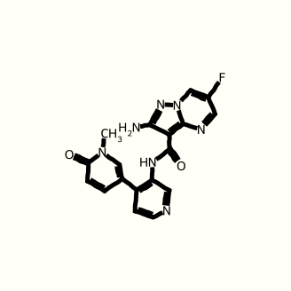 Cn1cc(-c2ccncc2NC(=O)c2c(N)nn3cc(F)cnc23)ccc1=O